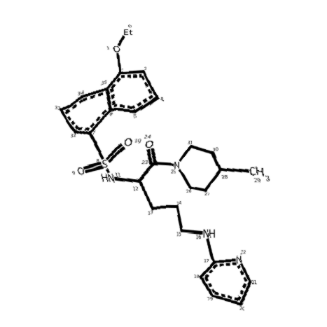 CCOc1cccc2c(S(=O)(=O)NC(CCCNc3ccccn3)C(=O)N3CCC(C)CC3)cccc12